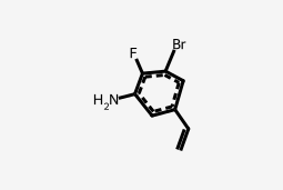 C=Cc1cc(N)c(F)c(Br)c1